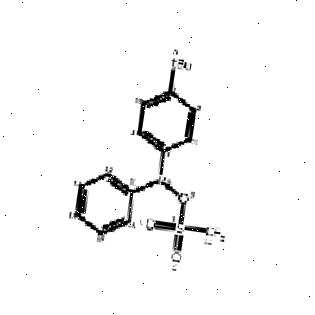 CC(C)(C)c1ccc([I+](OS(=O)(=O)C(F)(F)F)c2ccccc2)cc1